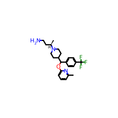 Cc1cccc(OC(c2ccc(C(F)(F)F)cc2)C2CCN([C@H](C)CCN)CC2)n1